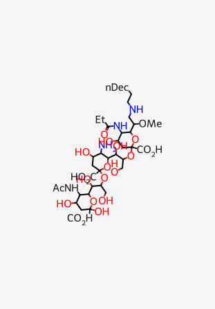 CCCCCCCCCCCCNCC(OC)C1OC(OC(CO)C(O)C2OC(OC(CO)C(O)C3OC(O)(C(=O)O)CC(O)C3NC(C)=O)(C(=O)O)CC(O)C2N)(C(=O)O)CC(O)C1NC(=O)CC